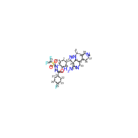 CC(C)n1nc(-c2ccc(NS(=O)(=O)C(F)F)c(O[C@@H](C)c3ccc(F)cc3)c2)c2c(N)ncc(-c3ccncc3)c21